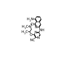 CC(CN(C)C)Oc1nc(Nc2cc3cccc(N)c3cn2)cnc1C#N